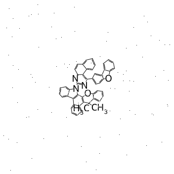 CC1(C)c2ccccc2Oc2c1c1ccccc1c1c3ccccc3n(-c3nc(-c4ccc5oc6ccccc6c5c4)c4c(ccc5ccccc54)n3)c21